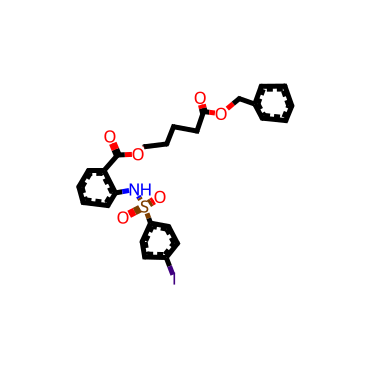 O=C(CCCCOC(=O)c1ccccc1NS(=O)(=O)c1ccc(I)cc1)OCc1ccccc1